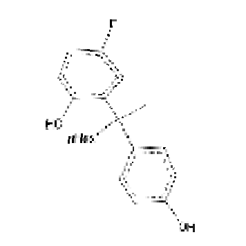 CCCCCCC(C)(c1ccc(O)cc1)c1cc(F)ccc1O